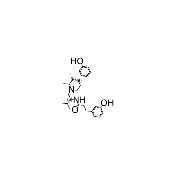 CC(C)[C@@H](CN1CC[C@@H](c2cccc(O)c2)[C@@H](C)C1C)NC(=O)CCc1cccc(O)c1